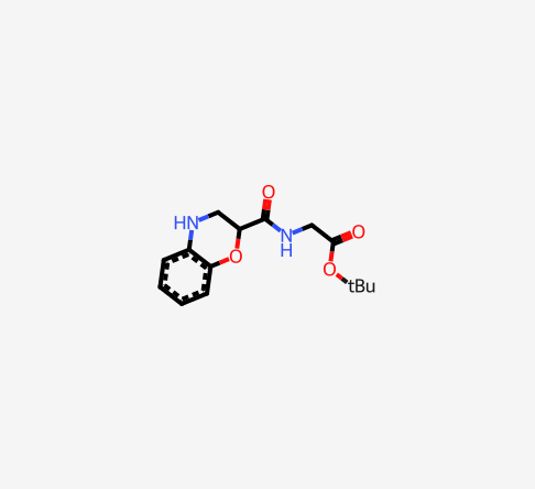 CC(C)(C)OC(=O)CNC(=O)C1CNc2ccccc2O1